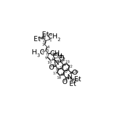 C=C/C(=C\C=C(/C)C(=C)/C=C\C(=C)N1C(=O)c2ccc3c4c(ccc(c24)C1=O)C(=O)N(C(CC)CC)C3=O)C(CC)CC